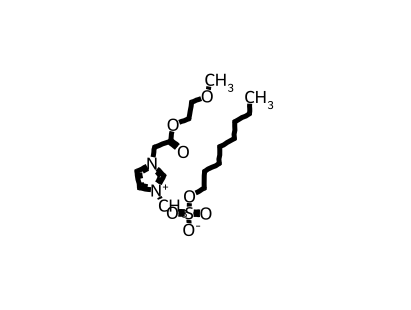 CCCCCCCCOS(=O)(=O)[O-].COCCOC(=O)Cn1cc[n+](C)c1